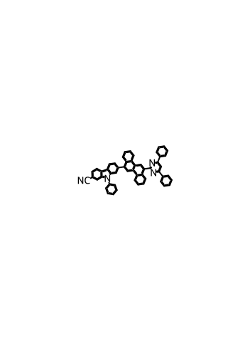 N#Cc1ccc2c3ccc(-c4cc5c6ccccc6c(-c6nc(-c7ccccc7)cc(-c7ccccc7)n6)cc5c5ccccc45)cc3n(-c3ccccc3)c2c1